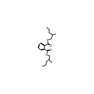 CCCC(C)COC(=O)c1ccccc1C(=O)OCC(C)CCC